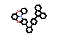 c1ccc2c(c1)Oc1cccc3c1N2c1ccc(-c2ccccc2-c2ccc(-c4cc5ccccc5c5ccccc45)cc2)cc1O3